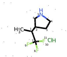 CC(C1CCNC1)C(F)(F)F.Cl